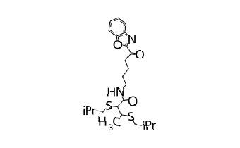 CC(C)CSC(C)C(SCC(C)C)C(=O)NCCCCC(=O)c1nc2ccccc2o1